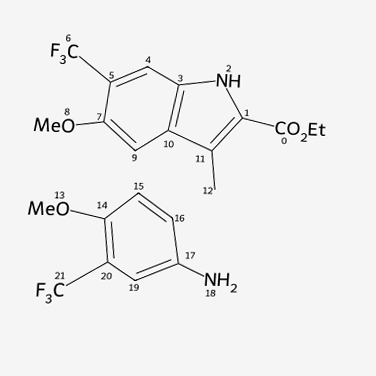 CCOC(=O)c1[nH]c2cc(C(F)(F)F)c(OC)cc2c1C.COc1ccc(N)cc1C(F)(F)F